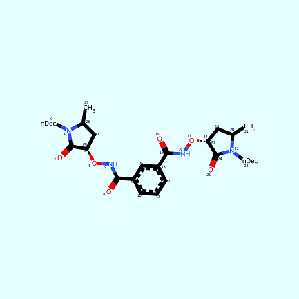 CCCCCCCCCCN1C(=O)[C@H](ONC(=O)c2cccc(C(=O)NO[C@@H]3CC(C)N(CCCCCCCCCC)C3=O)c2)CC1C